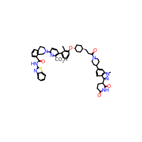 Cc1c(O[C@H]2CC[C@H](CCC(=O)N3CCC(c4ccc5c(C6CCC(=O)NC6=O)nn(C)c5c4)CC3)CC2)cccc1-c1ccc(N2CCc3cccc(C(=O)Nc4nc5ccccc5s4)c3C2)nc1C(=O)O